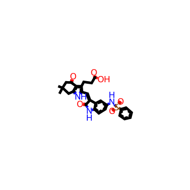 CC1(C)CC(=O)c2c([nH]c(C=C3C(=O)Nc4ccc(NS(=O)(=O)c5ccccc5)cc43)c2CCC(=O)O)C1